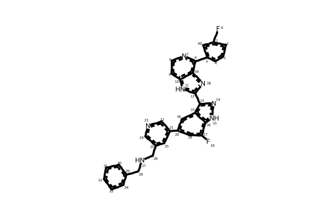 Fc1cccc(-c2nccc3[nH]c(-c4n[nH]c5c(F)cc(-c6cncc(CNCc7ccccc7)c6)cc45)nc23)c1